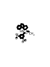 C=CC[C@H]1CCc2ccc3ccccc3c2C1NC(=O)c1cc([N+](=O)[O-])cc([N+](=O)[O-])c1